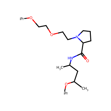 CC(CC(C)OC(C)C)NC(=O)C1CCCN1CCOCCOC(C)C